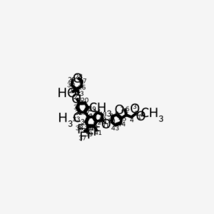 COC(=O)CC1COc2cc(O[C@@H]3CCc4c(-c5c(C)cc(OCC6(O)CCOCC6)cc5C)cc(C(F)(F)F)c(F)c43)ccc21